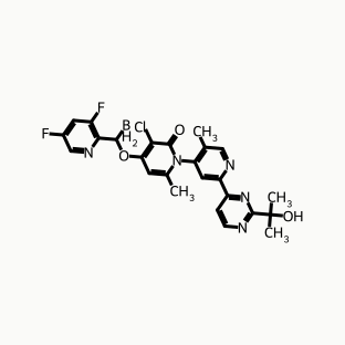 BC(Oc1cc(C)n(-c2cc(-c3ccnc(C(C)(C)O)n3)ncc2C)c(=O)c1Cl)c1ncc(F)cc1F